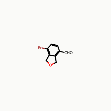 O=Cc1ccc(Br)c2c1COC2